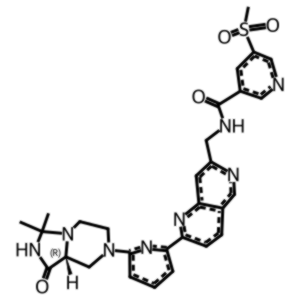 CC1(C)NC(=O)[C@H]2CN(c3cccc(-c4ccc5cnc(CNC(=O)c6cncc(S(C)(=O)=O)c6)cc5n4)n3)CCN21